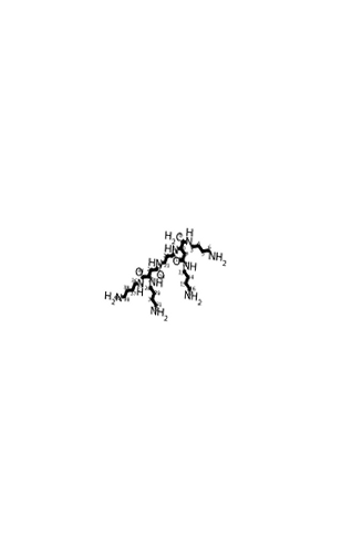 C=C(NCCCCN)C(CC(=O)NCCCCN)NCCCNC(=O)CC(NCCCCN)C(=O)NCCCCN